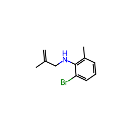 C=C(C)CNc1c(C)cccc1Br